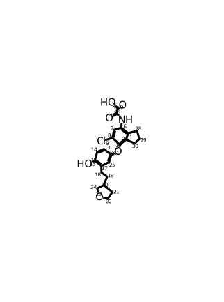 O=C(O)C(=O)Nc1cc(Cl)c(Oc2ccc(O)c(CCC3CCOC3)c2)c2c1CCC2